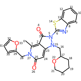 Cc1c2c(=O)n(-c3nc4ccccc4s3)n(CC3CCCCO3)c2cc(=O)n1Cc1ccco1